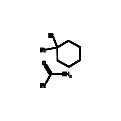 CCC(N)=O.CCC1(CC)CCCCC1